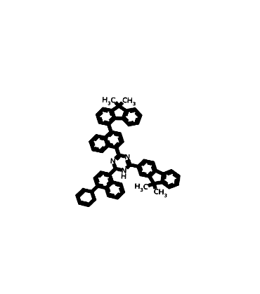 CC1(C)c2ccccc2-c2ccc(C3=NC(c4ccc(-c5cccc6c5-c5ccccc5C6(C)C)c5ccccc45)=NC(c4ccc(C5C=CC=CC5)c5ccccc45)N3)cc21